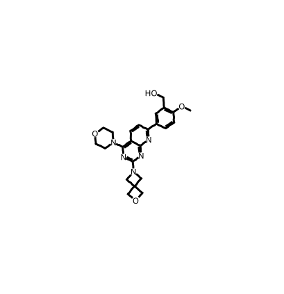 COc1ccc(-c2ccc3c(N4CCOCC4)nc(N4CC5(COC5)C4)nc3n2)cc1CO